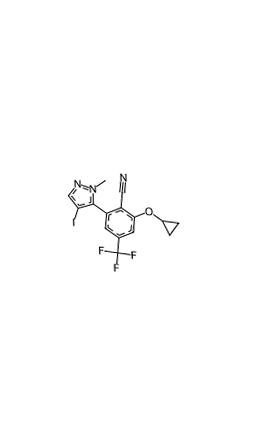 Cn1ncc(I)c1-c1cc(C(F)(F)F)cc(OC2CC2)c1C#N